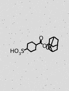 O=C(OC12CC3CC(C1)C(=O)C(C3)C2)C1CCC(S(=O)(=O)O)CC1